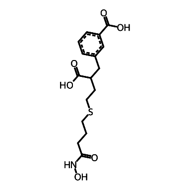 O=C(CCCSCCC(Cc1cccc(C(=O)O)c1)C(=O)O)NO